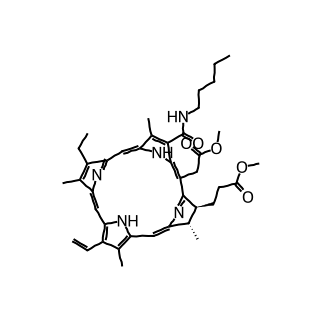 C=Cc1c(C)c2cc3nc(c(CC(=O)OC)c4[nH]c(cc5nc(cc1[nH]2)C(C)=C5CC)c(C)c4C(=O)NCCCCC)[C@@H](CCC(=O)OC)[C@@H]3C